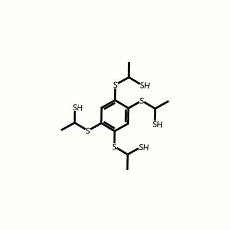 CC(S)Sc1cc(SC(C)S)c(SC(C)S)cc1SC(C)S